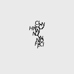 CC(Nc1ncc(-c2noc(C(F)(F)Cl)n2)cn1)c1cccnc1Cl